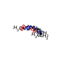 COC(=O)CN1CCN(CC2CN(CC3CCN(C(C)(C)C)CC3)C(=O)O2)CC1